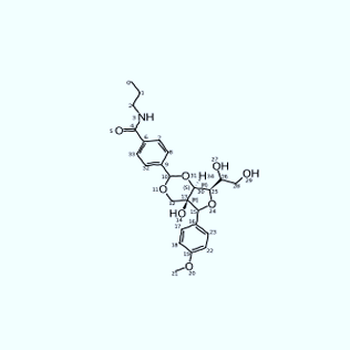 CCCNC(=O)c1ccc(C2OC[C@@]3(O)C(c4ccc(OC)cc4)O[C@H](C(O)CO)[C@@H]3O2)cc1